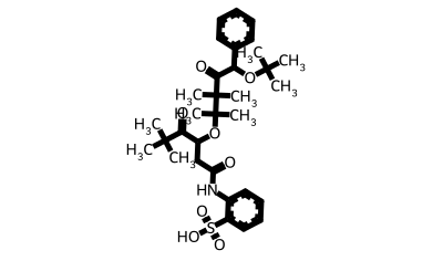 CC(C)(C)OC(C(=O)C(C)(C)C(C)(C)OC(CC(=O)Nc1ccccc1S(=O)(=O)O)C(=O)C(C)(C)C)c1ccccc1